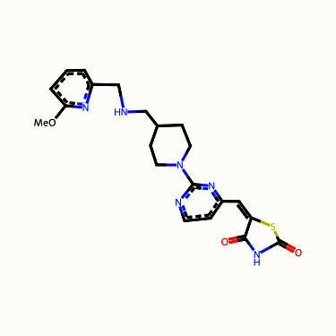 COc1cccc(CNCC2CCN(c3nccc(/C=C4/SC(=O)NC4=O)n3)CC2)n1